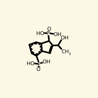 CC(O)C1=Cc2c(cccc2P(=O)(O)O)C1P(=O)(O)O